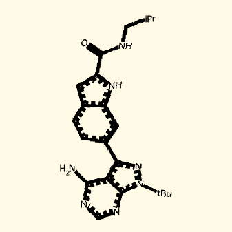 CC(C)CNC(=O)c1cc2ccc(-c3nn(C(C)(C)C)c4ncnc(N)c34)cc2[nH]1